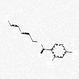 CC=CC=CCOC(=O)c1ccc(O)cc1O